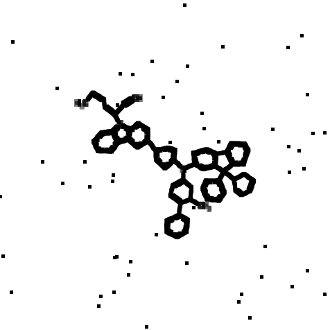 C#C/C(=C\C=C/C)n1c2ccccc2c2cc(-c3ccc(N(C4=CC=C(c5ccccc5)C(C)C4)c4ccc5c(c4)C(c4ccccc4)(C4C=CC=CC4)c4ccccc4-5)cc3)ccc21